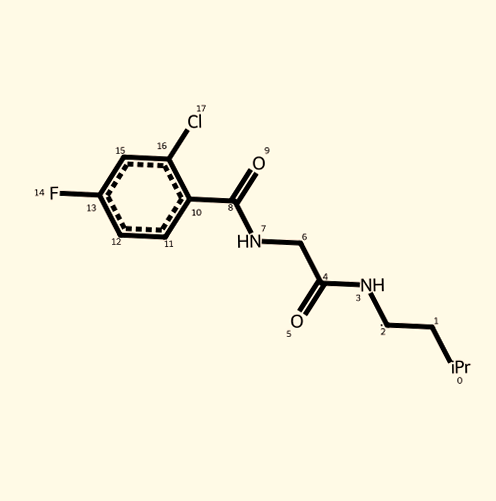 CC(C)C[CH]NC(=O)CNC(=O)c1ccc(F)cc1Cl